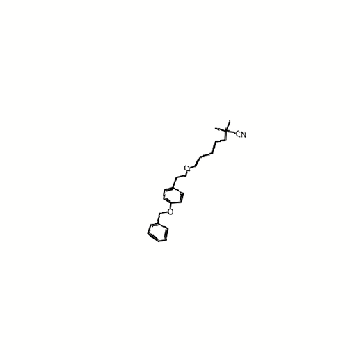 CC(C)(C#N)CCCCCOCCc1ccc(OCc2ccccc2)cc1